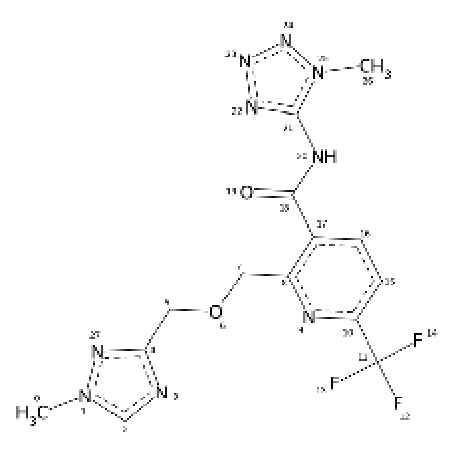 Cn1cnc(COCc2nc(C(F)(F)F)ccc2C(=O)Nc2nnnn2C)n1